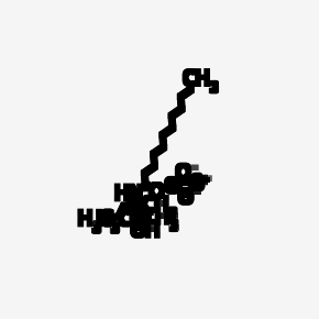 CCCCCCCCCCCC(=O)NC(C)(CCC)[N+](C)(C)O.[O-][Cl+3]([O-])([O-])[O-]